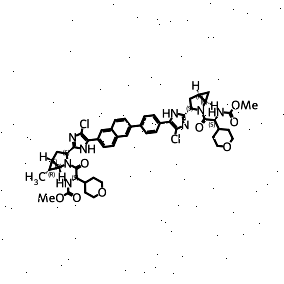 COC(=O)N[C@H](C(=O)N1[C@@H]2[C@H](C)[C@@H]2C[C@H]1c1nc(Cl)c(-c2ccc3cc(-c4ccc(-c5[nH]c([C@@H]6C[C@H]7C[C@H]7N6C(=O)[C@@H](NC(=O)OC)C6CCOCC6)nc5Cl)cc4)ccc3c2)[nH]1)C1CCOCC1